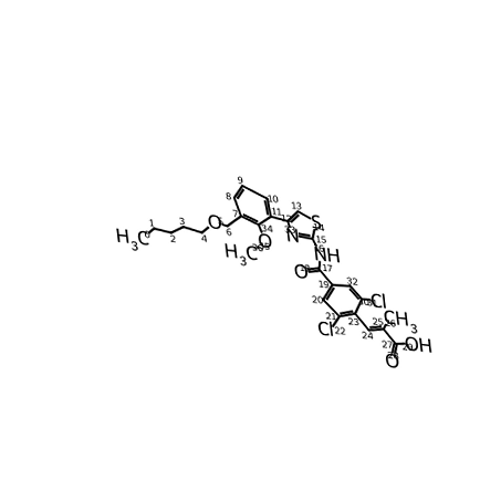 CCCCCOCc1cccc(-c2csc(NC(=O)c3cc(Cl)c(C=C(C)C(=O)O)c(Cl)c3)n2)c1OC